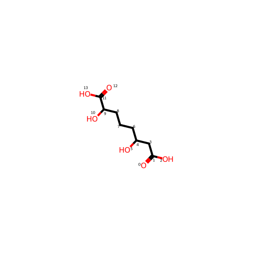 O=C(O)CC(O)CCCC(O)C(=O)O